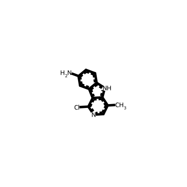 Cc1cnc(Cl)c2c1[nH]c1ccc(N)cc12